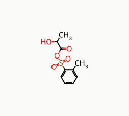 Cc1ccccc1S(=O)(=O)OC(=O)C(C)O